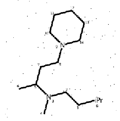 CC(C)CCN(C)C(C)CCN1CCCCC1